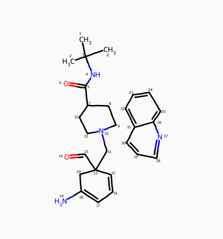 CC(C)(C)NC(=O)C1CCN(CC2(C=O)C=CC=C(N)C2)CC1.c1ccc2ncccc2c1